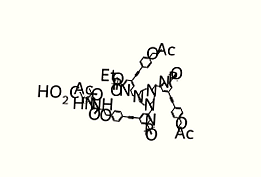 CCOP(C)(=O)c1cc(C#Cc2ccc(OCC(C)=O)cc2)cc(CN2CCN(Cc3cc(C#Cc4ccc(OCC(C)=O)cc4)cc(P(C)(C)=O)n3)CCN(Cc3cc(C#Cc4ccc(OCC(=O)NN[C@@H](CCC(=O)O)C(=O)C(C)=O)cc4)cc(P(C)(C)=O)n3)CC2)n1